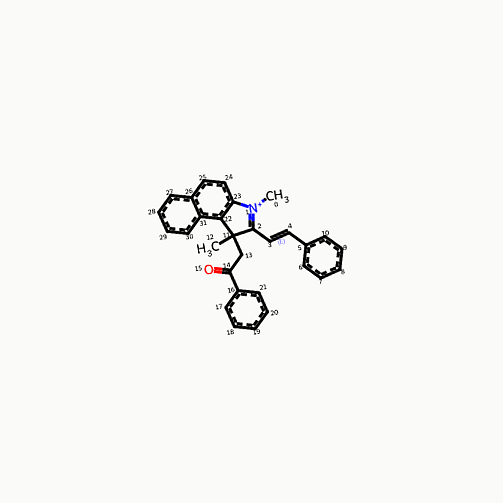 C[N+]1=C(/C=C/c2ccccc2)C(C)(CC(=O)c2ccccc2)c2c1ccc1ccccc21